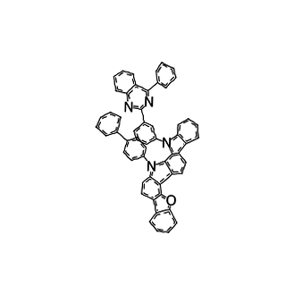 c1ccc(-c2ccc(-n3c4ccc5c6ccccc6oc5c4c4ccc5c6ccccc6n(-c6cccc(-c7nc(-c8ccccc8)c8ccccc8n7)c6)c5c43)cc2)cc1